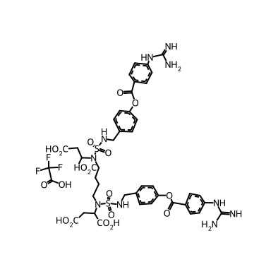 N=C(N)Nc1ccc(C(=O)Oc2ccc(CNS(=O)(=O)N(CCCCN(C(CC(=O)O)C(=O)O)S(=O)(=O)NCc3ccc(OC(=O)c4ccc(NC(=N)N)cc4)cc3)C(CC(=O)O)C(=O)O)cc2)cc1.O=C(O)C(F)(F)F